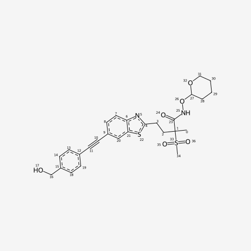 CC(CCc1nc2ccc(C#Cc3ccc(CO)cc3)cc2s1)(C(=O)NOC1CCCCO1)S(C)(=O)=O